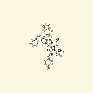 CC(C)N(C(=O)NCc1ccc(F)cc1)N1CC(=O)N2[C@@H](Cc3ccc4occc4c3)C(=O)N(Cc3cccc4ccccc34)C[C@@H]21